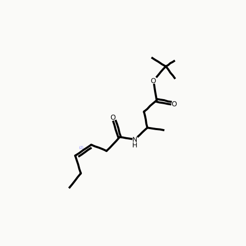 CC/C=C\CC(=O)NC(C)CC(=O)OC(C)(C)C